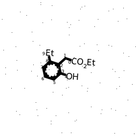 CCOC(=O)Cc1c(O)cccc1CC